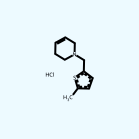 Cc1ccc(CN2CC=CCC2)s1.Cl